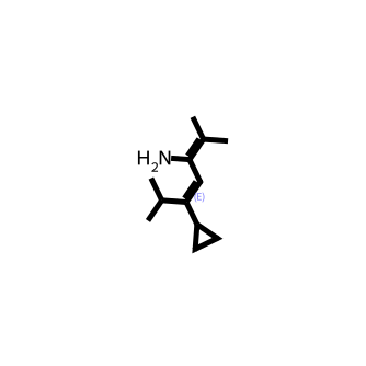 CC(C)=C(N)/C=C(\C(C)C)C1CC1